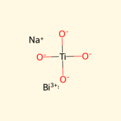 [Bi+3].[Na+].[O-][Ti]([O-])([O-])[O-]